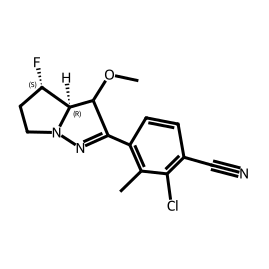 COC1C(c2ccc(C#N)c(Cl)c2C)=NN2CC[C@H](F)[C@@H]12